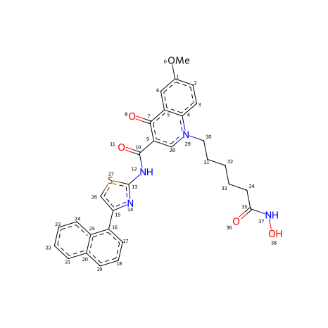 COc1ccc2c(c1)c(=O)c(C(=O)Nc1nc(-c3cccc4ccccc34)cs1)cn2CCCCCC(=O)NO